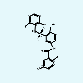 COc1ccc(NC(=O)c2cc(Br)cnc2C)cc1S(=O)(=O)Nc1c(C)cccc1C